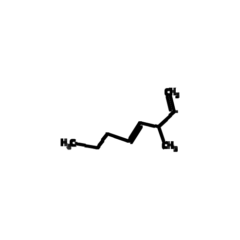 C=[C]C(C)C=CCCC